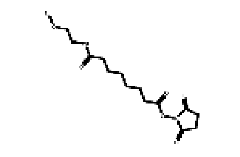 CCCCOCCNC(=O)CCCCCCC(=O)ON1C(=O)CCC1=O